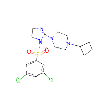 O=S(=O)(c1cc(Cl)cc(Cl)c1)N1CCN=C1N1CCN(C2CCC2)CC1